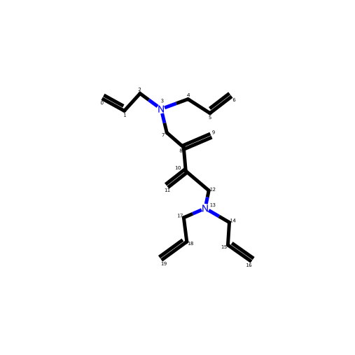 C=CCN(CC=C)CC(=C)C(=C)CN(CC=C)CC=C